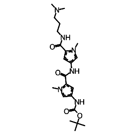 CN(C)CCCNC(=O)c1cc(NC(=O)c2cc(NC(=O)OC(C)(C)C)cn2C)cn1C